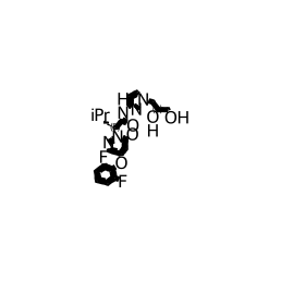 CC(C)C[C@H](C(=O)Nc1ccn(C[C@@H](O)CO)n1)n1ncc(Oc2c(F)cccc2F)cc1=O